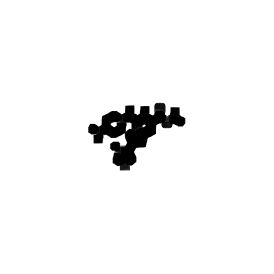 Cc1c(C(=O)OC(C)C)cc2cc(-c3cncn3C)cn2c1C(C)N1CCC(N(C)C)CC1